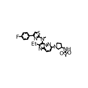 CCc1nc2ccc(N3CCC(NS(C)(=O)=O)C3)nn2c1N(C)c1nc(-c2ccc(F)cc2)cs1